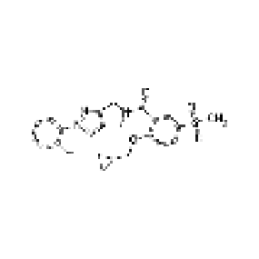 CS(=O)(=O)c1ccc(OCC2CC2)c(C(=O)N2Cc3cn(-c4ccccc4F)nc3C2)c1